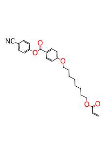 C=CC(=O)OCCCCCCCCOc1ccc(C(=O)Oc2ccc(C#N)cc2)cc1